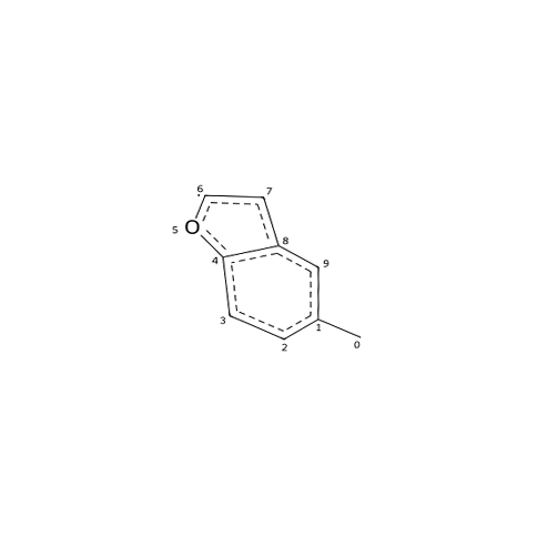 Cc1ccc2o[c]cc2c1